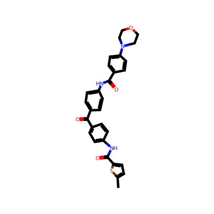 Cc1ccc(C(=O)Nc2ccc(C(=O)c3ccc(NC(=O)c4ccc(N5CCOCC5)cc4)cc3)cc2)s1